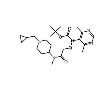 Cc1ncnc(C)c1N(OCC(=O)N(C)C1CCN(CC2CC2)CC1)C(=O)OC(C)(C)C